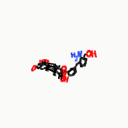 C[C@]12C=CC(=O)C=C1CC[C@@H]1[C@@H]2[C@@H](O)C[C@@]2(C)[C@H]1C[C@H]1O[C@@H](c3cccc(Cc4cccc(CO)c4N)c3)O[C@]12C(=O)CO